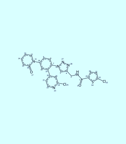 O=C(NCc1cn(-c2ccc(-n3ccccc3=O)cc2-c2ccnc(Cl)c2)nn1)c1ccc(Cl)s1